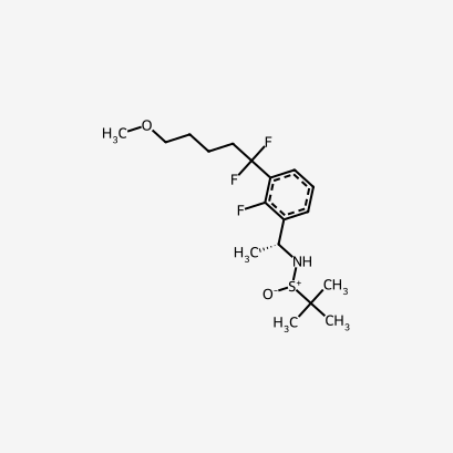 COCCCCC(F)(F)c1cccc([C@@H](C)N[S+]([O-])C(C)(C)C)c1F